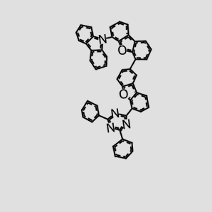 c1ccc(-c2nc(-c3ccccc3)nc(-c3cccc4c3oc3ccc(-c5cccc6c5oc5c(-n7c8ccccc8c8ccccc87)cccc56)cc34)n2)cc1